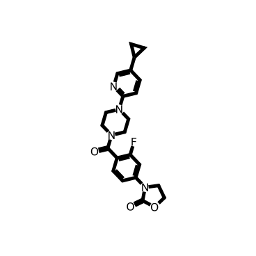 O=C(c1ccc(N2CCOC2=O)cc1F)N1CCN(c2ccc(C3CC3)cn2)CC1